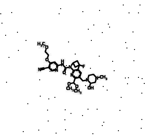 COCCOc1cc(NC(=O)N2c3nc(C(OC)OC)c(CN4CCN(C)CC4O)cc3C3(F)CC2C3)ncc1C#N